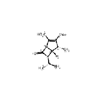 CSC1=C(C(=O)O)N2C(=O)[C@H]([C@@H](C)N)[C@H]2[C@H]1C